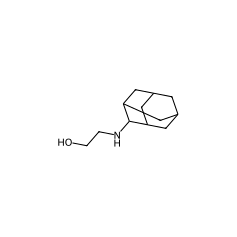 OCCNC1C2CC3CC(C2)CC1C3